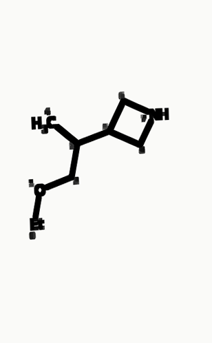 CCOCC(C)C1CNC1